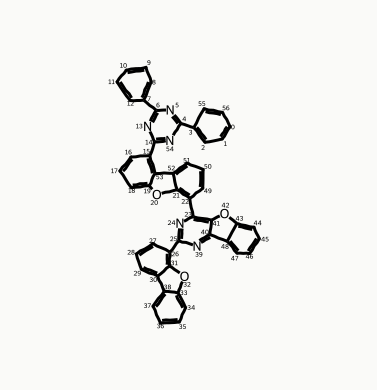 c1ccc(-c2nc(-c3ccccc3)nc(-c3cccc4oc5c(-c6nc(-c7cccc8c7oc7ccccc78)nc7c6oc6ccccc67)cccc5c34)n2)cc1